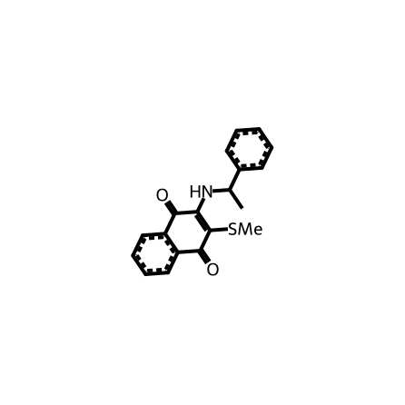 CSC1=C(NC(C)c2ccccc2)C(=O)c2ccccc2C1=O